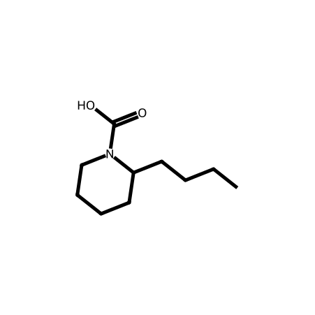 CCCCC1CCCCN1C(=O)O